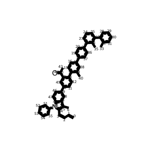 C=C/C=C\c1c(C)c2cc(-c3ccc(-c4ccc(-c5ccc(-c6cccc(-c7ccccc7C)c6C)cc5)cc4C)c(C(C)=O)c3)ccc2n1-c1ccccc1